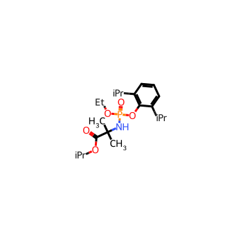 CCOP(=O)(NC(C)(C)C(=O)OC(C)C)Oc1c(C(C)C)cccc1C(C)C